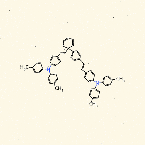 Cc1ccc(N(c2ccc(C)cc2)c2ccc(C=Cc3ccc(C4(C=Cc5ccc(N(c6ccc(C)cc6)c6ccc(C)cc6)cc5)C=CC=CC4)cc3)cc2)cc1